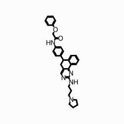 O=C(COc1ccccc1)Nc1ccc(C2Cc3cnc(NCCCN4CCCC4)nc3-c3ccccc32)cc1